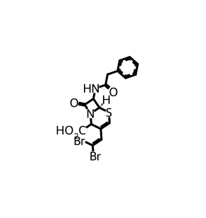 O=C(Cc1ccccc1)NC1C(=O)N2C(C(=O)O)C(C=C(Br)Br)=CS[C@H]12